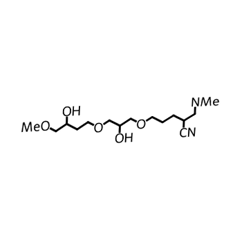 CNCC(C#N)CCCOCC(O)COCCC(O)COC